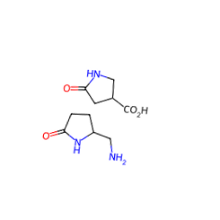 NCC1CCC(=O)N1.O=C1CC(C(=O)O)CN1